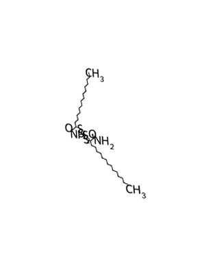 CCCCCCCCCCCCCCCC(SSSSC(CCCCCCCCCCCCCCC)C(N)=O)C(N)=O